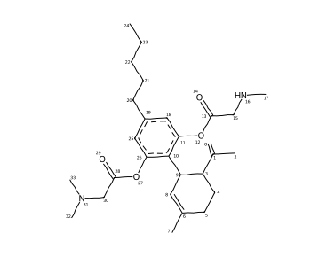 C=C(C)C1CCC(C)=CC1c1c(OC(=O)CNC)cc(CCCCC)cc1OC(=O)CN(C)C